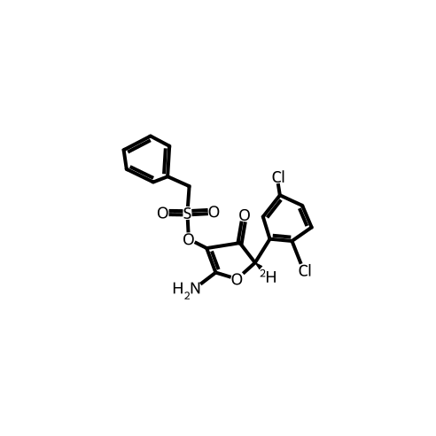 [2H][C@@]1(c2cc(Cl)ccc2Cl)OC(N)=C(OS(=O)(=O)Cc2ccccc2)C1=O